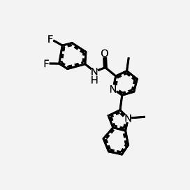 Cc1ccc(-c2cc3ccccc3n2C)nc1C(=O)Nc1ccc(F)c(F)c1